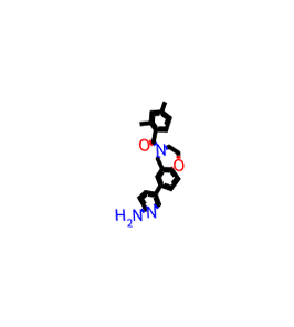 Cc1ccc(C(=O)N2CCOc3ccc(-c4ccc(N)nc4)cc3C2)c(C)c1